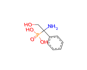 NC(CO)(c1ccccc1)P(=O)(O)O